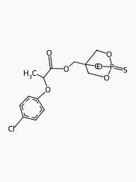 CC(Oc1ccc(Cl)cc1)C(=O)OCC12COP(=S)(OC1)OC2